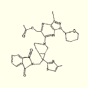 CC(=O)OCc1nc2c(I)nn(C3CCCCO3)c2nc1N1CCC2C(C1)C2(CN1C(=O)c2ccccc2C1=O)c1nc(C)cs1